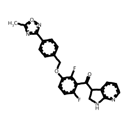 Cc1nc(-c2ccc(COc3ccc(F)c(C(=O)C4CNc5ncccc54)c3F)cc2)no1